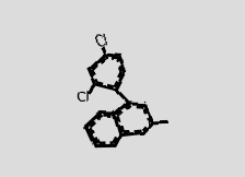 Cc1[c]c(-c2ccc(Cl)cc2Cl)c2ccccc2c1